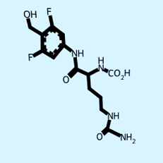 NC(=O)NCCCC(NC(=O)O)C(=O)Nc1cc(F)c(CO)c(F)c1